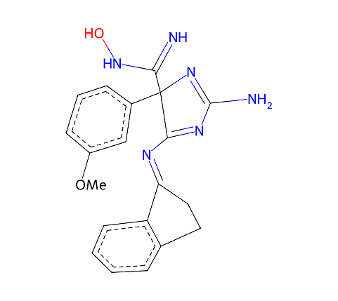 COc1cccc(C2(C(=N)NO)N=C(N)N=C2N=C2CCc3ccccc32)c1